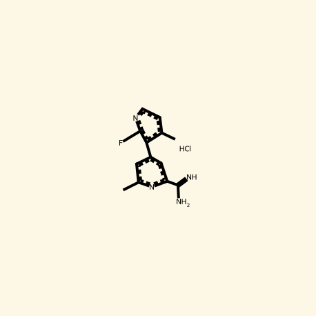 Cc1cc(-c2c(C)ccnc2F)cc(C(=N)N)n1.Cl